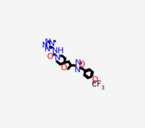 Cn1nnnc1NC(=O)N1CCC2(CC1)CC(c1noc(-c3ccc(OC(F)(F)F)cc3)n1)CO2